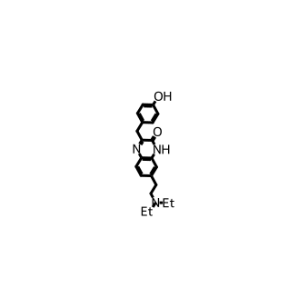 CCN(CC)CCc1ccc2nc(Cc3ccc(O)cc3)c(=O)[nH]c2c1